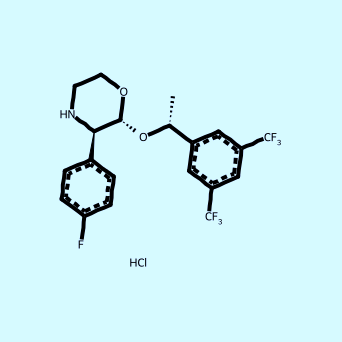 C[C@@H](O[C@H]1OCCN[C@@H]1c1ccc(F)cc1)c1cc(C(F)(F)F)cc(C(F)(F)F)c1.Cl